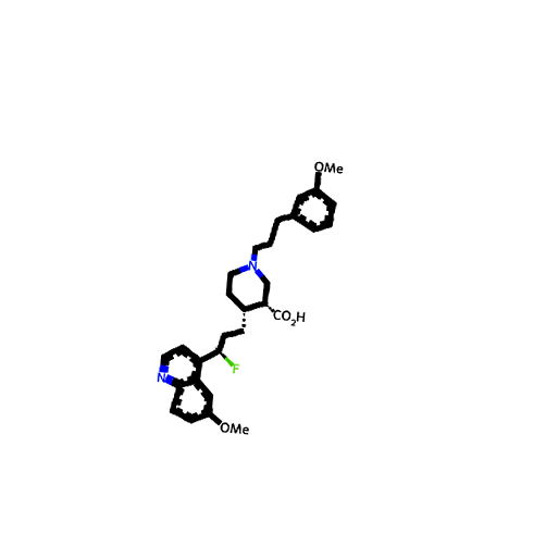 COc1cccc(CCCN2CC[C@@H](CC[C@@H](F)c3ccnc4ccc(OC)cc34)[C@@H](C(=O)O)C2)c1